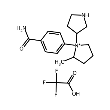 CC1CCC[N+]1(c1ccc(C(N)=O)cc1)C1CCNC1.O=C(O)C(F)(F)F